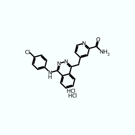 Cl.Cl.NC(=O)c1cc(Cc2nnc(Nc3ccc(Cl)cc3)c3ccccc23)ccn1